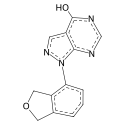 Oc1ncnc2c1cnn2-c1cccc2c1COC2